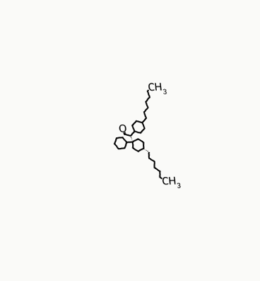 CCCCCCCC1CCC(C(C=O)[C@]2(C3CCCCC3)CC[C@H](CCCCCCC)CC2)CC1